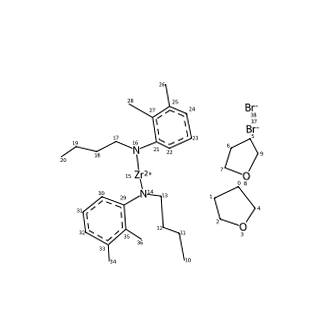 C1CCOC1.C1CCOC1.CCCC[N]([Zr+2][N](CCCC)c1cccc(C)c1C)c1cccc(C)c1C.[Br-].[Br-]